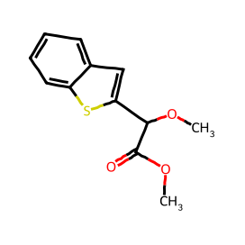 COC(=O)C(OC)c1cc2ccccc2s1